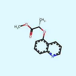 COC(=O)[C@H](C)Oc1cccc2ncccc12